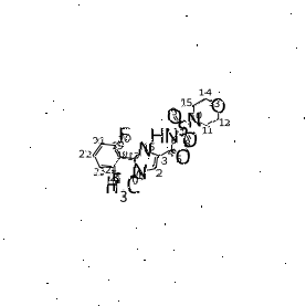 Cn1cc(C(=O)NS(=O)(=O)N2CCOCC2)nc1-c1c(F)cccc1F